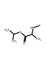 CC(C)OC(=O)C(C)NF